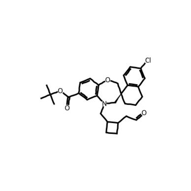 CC(C)(C)OC(=O)c1ccc2c(c1)N(CC1CCC1CC=O)C[C@@]1(CCCc3cc(Cl)ccc31)CO2